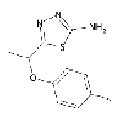 Cc1ccc(OC(C)c2nnc(N)s2)cc1